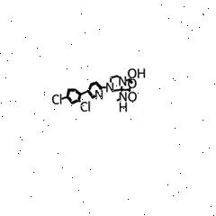 CNC1(C(C)=O)CN(c2ccc(-c3ccc(Cl)cc3Cl)cn2)CCN1C(=O)O